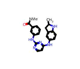 CNC(=O)c1cccc(Nc2nccc(Nc3ccc4c(c3)CC(C)N4)n2)c1